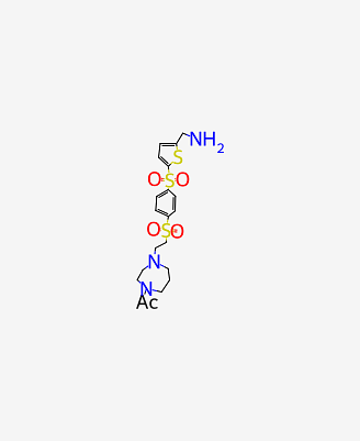 CC(=O)N1CCCN(CCS(=O)(=O)c2ccc(S(=O)(=O)c3ccc(CN)s3)cc2)CC1